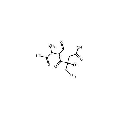 CCC(O)(CC(=O)O)C(=O)N(C=O)C(C)C(=O)O